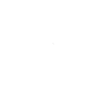 COc1cccc2c1CC[C@@H](CN1CCC(c3ccccc3C)CC1)C[C@H]2O